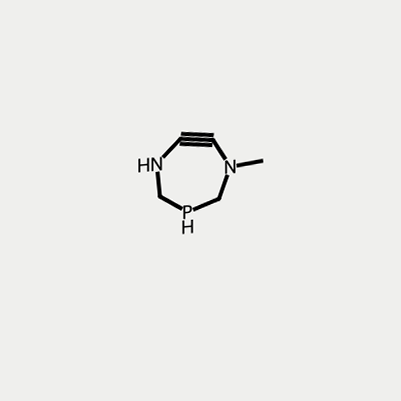 CN1C#CNCPC1